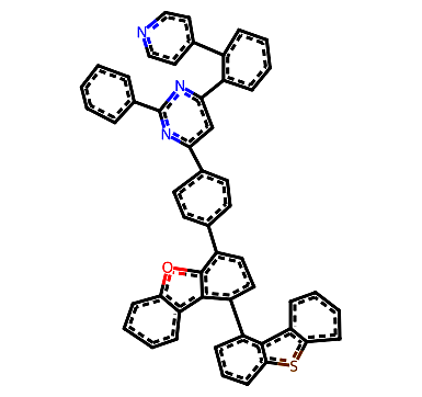 c1ccc(-c2nc(-c3ccc(-c4ccc(-c5cccc6sc7ccccc7c56)c5c4oc4ccccc45)cc3)cc(-c3ccccc3-c3ccncc3)n2)cc1